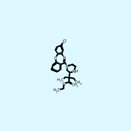 C=C(OCC)C(CC)(CC)C1CN(C2=Nc3cc(Cl)ccc3Oc3ccccc32)CCN1